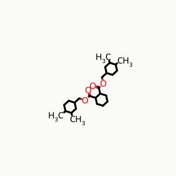 CC1CCC(COC(=O)C2CCCCC2C(=O)OCC2CCC(C)C(C)C2)CC1C